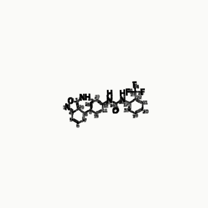 Nc1onc2cccc(-c3ccc(NC(=O)Nc4ccccc4C(F)(F)F)cc3)c12